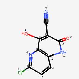 N#Cc1c(O)c2nc(Cl)ccc2[nH]c1=O